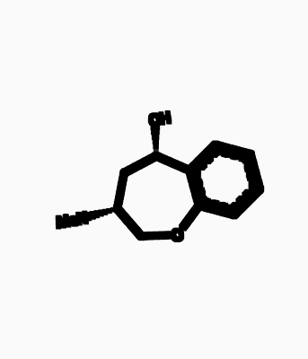 CN[C@H]1COc2ccccc2[C@@H](O)C1